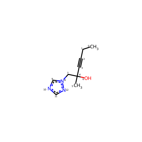 CCC#CC(C)(O)Cn1cncn1